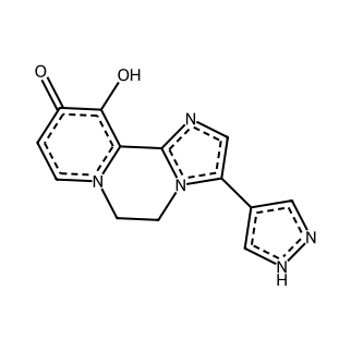 O=c1ccn2c(c1O)-c1ncc(-c3cn[nH]c3)n1CC2